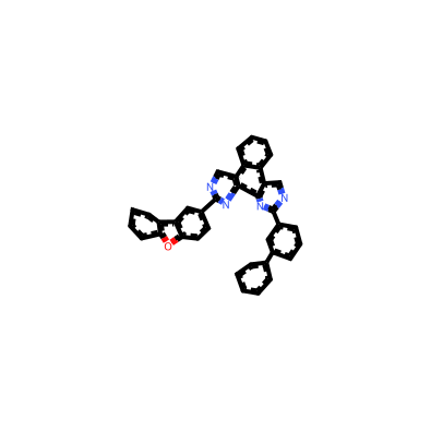 c1ccc(-c2cccc(-c3ncc4c5ccccc5c5cnc(-c6ccc7oc8ccccc8c7c6)nc5c4n3)c2)cc1